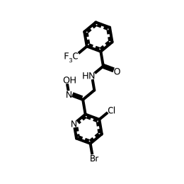 O=C(NCC(=NO)c1ncc(Br)cc1Cl)c1ccccc1C(F)(F)F